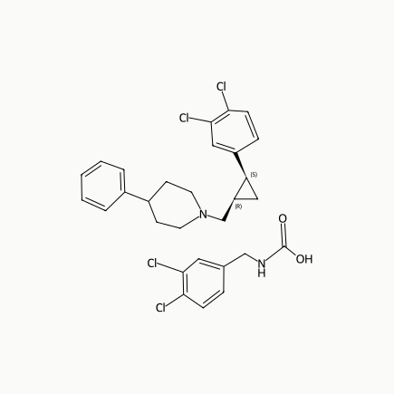 Clc1ccc([C@H]2C[C@H]2CN2CCC(c3ccccc3)CC2)cc1Cl.O=C(O)NCc1ccc(Cl)c(Cl)c1